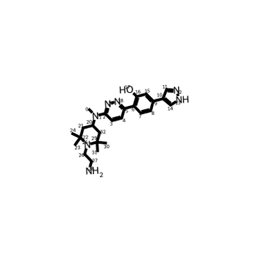 CN(c1ccc(-c2ccc(-c3cn[nH]c3)cc2O)nn1)C1CC(C)(C)N(CCN)C(C)(C)C1